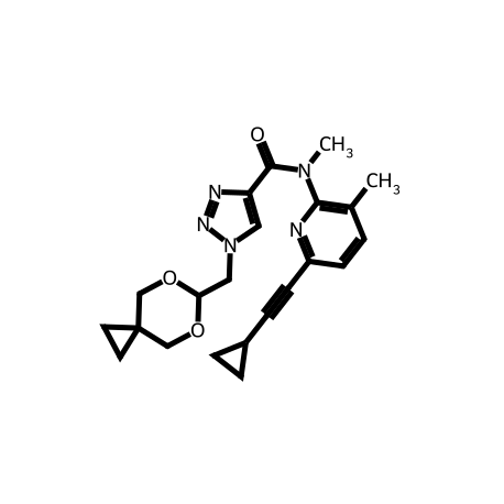 Cc1ccc(C#CC2CC2)nc1N(C)C(=O)c1cn(CC2OCC3(CC3)CO2)nn1